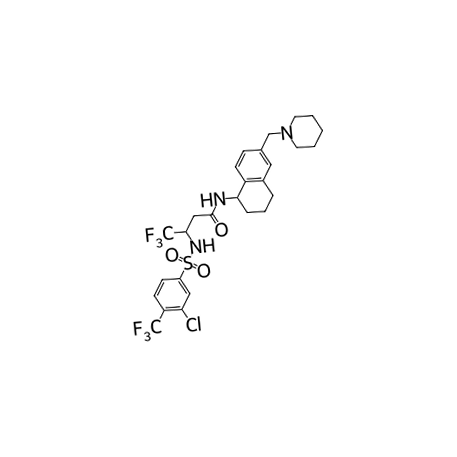 O=C(CC(NS(=O)(=O)c1ccc(C(F)(F)F)c(Cl)c1)C(F)(F)F)NC1CCCc2cc(CN3CCCCC3)ccc21